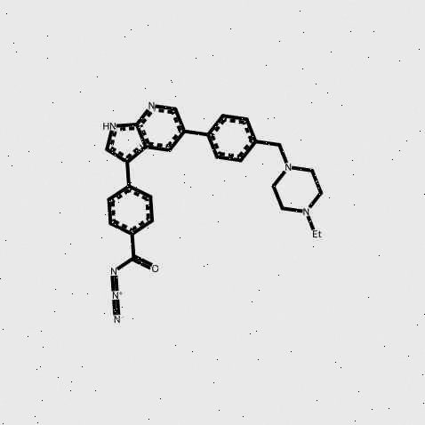 CCN1CCN(Cc2ccc(-c3cnc4[nH]cc(-c5ccc(C(=O)N=[N+]=[N-])cc5)c4c3)cc2)CC1